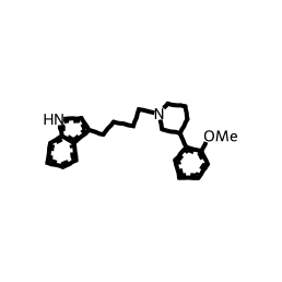 COc1ccccc1C1CCCN(CCCCc2c[nH]c3ccccc23)C1